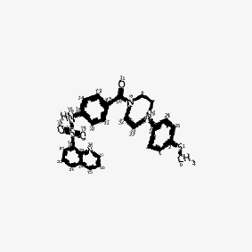 CSc1ccc(N2CCN(C(=O)c3ccc(NS(=O)(=O)c4cccc5cccnc45)cc3)CC2)cc1